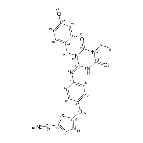 CCn1c(=O)[nH]/c(=N\c2ccc(Oc3ncc(C#N)s3)cc2)n(Cc2ccc(Cl)cc2)c1=O